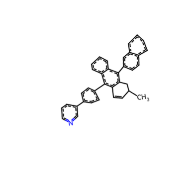 CC1C=Cc2c(c(-c3ccc4ccccc4c3)c3ccccc3c2-c2ccc(-c3cccnc3)cc2)C1